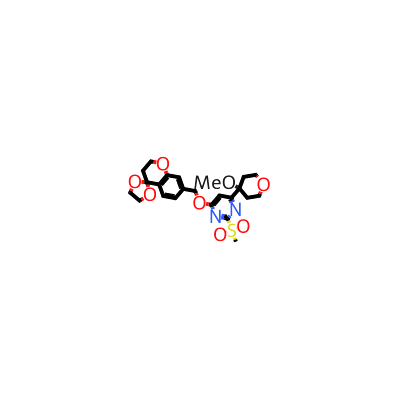 COC1(c2cc(OCc3ccc4c(c3)OCCC43OCCO3)nc(S(C)(=O)=O)n2)CCOCC1